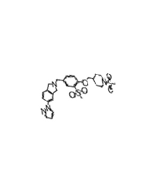 CS(=O)(=O)c1cc(CN2Cc3ccc(-n4cccn4)cc3C2)ccc1OCC1CCN(S(C)(=O)=O)CC1